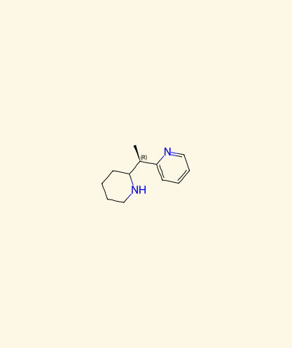 C[C@@H](c1ccccn1)C1CCCCN1